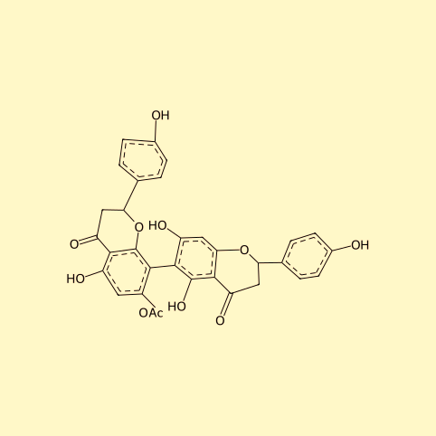 CC(=O)Oc1cc(O)c2c(c1-c1c(O)cc3c(c1O)C(=O)CC(c1ccc(O)cc1)O3)OC(c1ccc(O)cc1)CC2=O